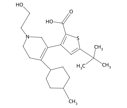 CC1CCC(C2=C(c3cc(C(C)(C)C)sc3C(=O)O)CN(CCO)CC2)CC1